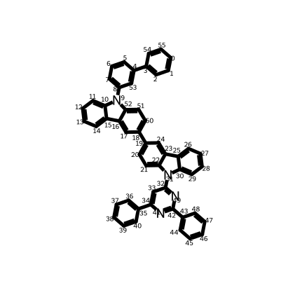 c1ccc(-c2cccc(-n3c4ccccc4c4cc(-c5ccc6c(c5)c5ccccc5n6-c5cc(-c6ccccc6)nc(-c6ccccc6)n5)ccc43)c2)cc1